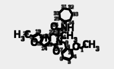 CCOc1ccccc1CN1C(=O)c2cc3oc(C)cc3n2CC1(C)C(=O)NC1CCCCCC1